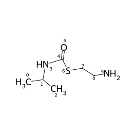 CC(C)NC(=O)SCCN